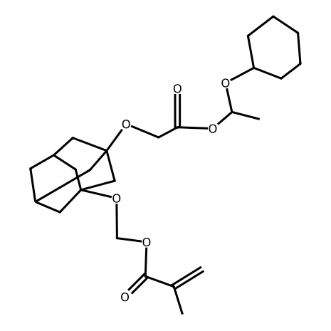 C=C(C)C(=O)OCOC12CC3CC(C1)CC(OCC(=O)OC(C)OC1CCCCC1)(C3)C2